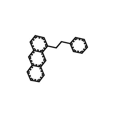 [CH](Cc1cccc2cc3ccccc3cc12)c1ccccc1